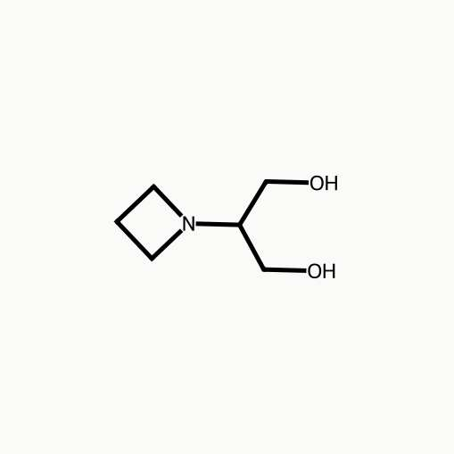 OCC(CO)N1CCC1